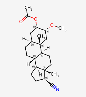 CO[C@@H]1C[C@@]2(C)[C@@H](CC[C@@H]3[C@@H]2CC[C@]2(C)[C@@H](C#N)CC[C@@H]32)C[C@@H]1OC(C)=O